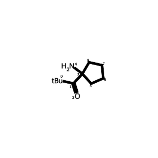 CC(C)(C)C(=O)C1(N)CCCC1